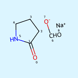 O=C1CCCN1.O=C[O-].[Na+]